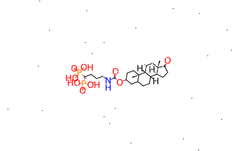 C[C@]12CCC(OC(=O)NCCCC(P(=O)(O)O)P(=O)(O)O)CC1CC[C@@H]1[C@H]2CC[C@]2(C)C(=O)CC[C@@H]12